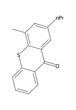 CCCc1cc(C)c2sc3ccccc3c(=O)c2c1